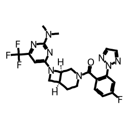 CN(C)c1nc(N2C[C@@H]3CCN(C(=O)c4ccc(F)cc4-n4nccn4)C[C@@H]32)cc(C(F)(F)F)n1